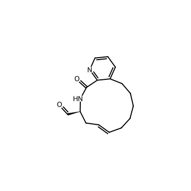 O=C[C@@H]1C/C=C/CCCCCc2cccnc2C(=O)N1